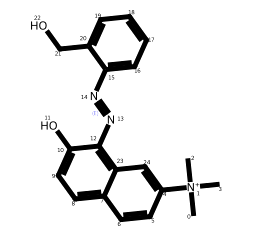 C[N+](C)(C)c1ccc2ccc(O)c(/N=N/c3ccccc3CO)c2c1